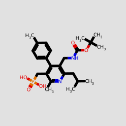 Cc1ccc(-c2c(CP(=O)(O)O)c(C)nc(CC(C)C)c2CNC(=O)OC(C)(C)C)cc1